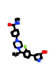 CCCNC(=O)c1ccc(N2CCN(C(C)c3ccc(-c4cncc(O)c4)cc3F)CC2)cc1